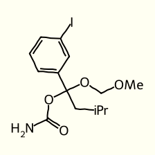 COCOC(CC(C)C)(OC(N)=O)c1cccc(I)c1